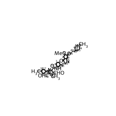 COc1cc2c(Oc3ccc(NC(=O)C4=NN(c5ccc(C)cc5)C(C=O)N(C)C4C=O)cc3F)ccnc2cc1OCCCN1CCN(C)CC1